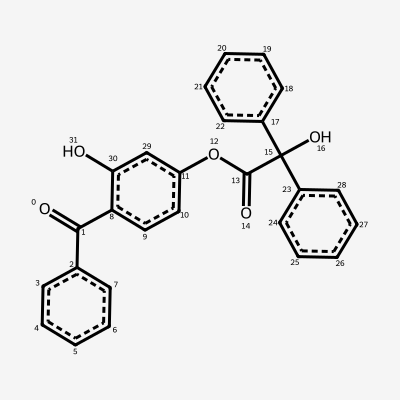 O=C(c1ccccc1)c1ccc(OC(=O)C(O)(c2ccccc2)c2ccccc2)cc1O